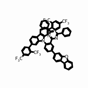 FC(F)(F)c1ccc(-c2ccc3c4ccc(-c5ccc(C(F)(F)F)cc5C(F)(F)F)cc4n(-c4ccc(-c5ccc6c(c5)oc5ccccc56)cc4-c4nc(-c5ccccc5)nc(-c5ccccc5)n4)c3c2)c(C(F)(F)F)c1